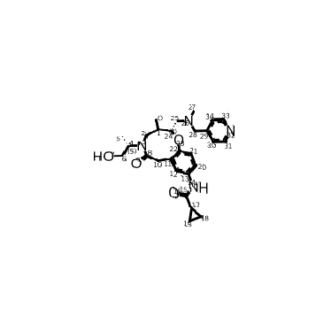 CC1CN([C@@H](C)CO)C(=O)Cc2cc(NC(=O)C3CC3)ccc2O[C@H]1CN(C)Cc1ccncc1